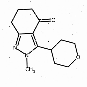 Cn1nc2c(c1C1CCOCC1)C(=O)CCC2